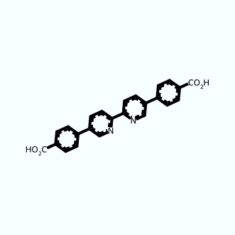 O=C(O)c1ccc(-c2ccc(-c3ccc(-c4ccc(C(=O)O)cc4)cn3)nc2)cc1